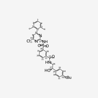 Cc1cccc(C)c1-c1cc(Cl)nc(NS(=O)(=O)c2cccc(C(=O)NCC(O)c3ccc(C(C)(C)C)cc3)c2)n1